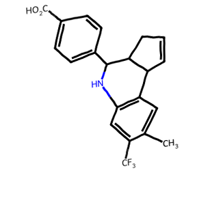 Cc1cc2c(cc1C(F)(F)F)NC(c1ccc(C(=O)O)cc1)C1CC=CC21